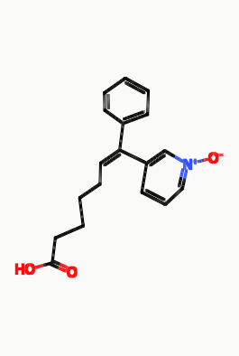 O=C(O)CCCCC=C(c1ccccc1)c1ccc[n+]([O-])c1